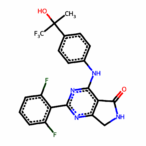 CC(O)(c1ccc(Nc2nc(-c3c(F)cccc3F)nc3c2C(=O)NC3)cc1)C(F)(F)F